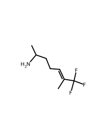 C/C(=C\CCC(C)N)C(F)(F)F